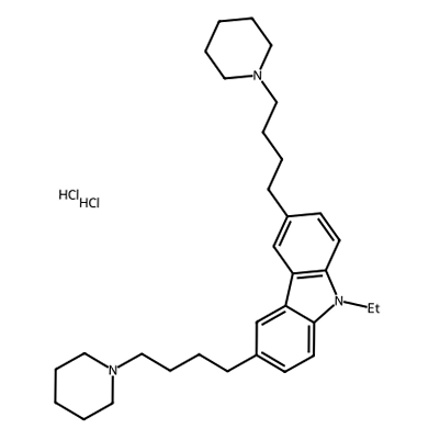 CCn1c2ccc(CCCCN3CCCCC3)cc2c2cc(CCCCN3CCCCC3)ccc21.Cl.Cl